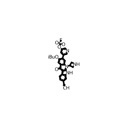 C#Cc1ccc2c(c1)[nH]c1c2c(=O)c2cc(OCC(C)C)c(-c3cncc(OS(=O)(=O)F)c3)cc2n1C1CNC1